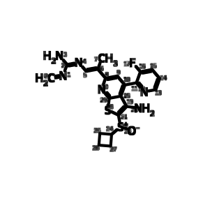 C=N/C(N)=N\C=C(/C)c1cc(-c2ncccc2F)c2c(N)c([S+]([O-])C3CCC3)sc2n1